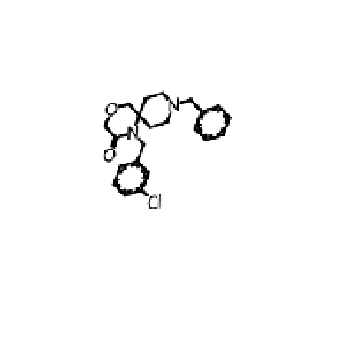 O=C1COCC2(CCN(Cc3ccccc3)CC2)N1Cc1cccc(Cl)c1